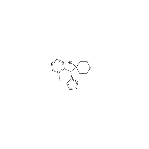 CN1CCC(O)(C(c2ccccc2F)n2cccc2)CC1